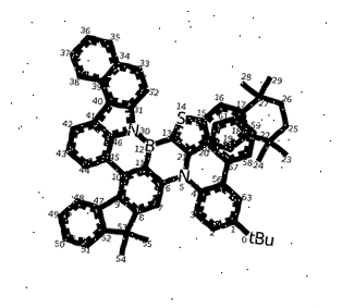 CC(C)(C)c1ccc(N2c3cc4c(c5c3B(c3sc6cc7c(cc6c32)C(C)(C)CCC7(C)C)n2c3ccc6ccccc6c3c3cccc-5c32)-c2ccccc2C4(C)C)c(-c2ccccc2)c1